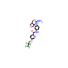 NC1=N[C@@]2(c3cc(NC(=O)c4ccc(OCC(F)(F)C(F)F)cn4)ccc3F)COCC2CO1